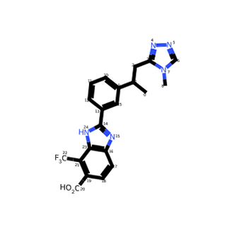 CC(Cc1nncn1C)c1cccc(-c2nc3ccc(C(=O)O)c(C(F)(F)F)c3[nH]2)c1